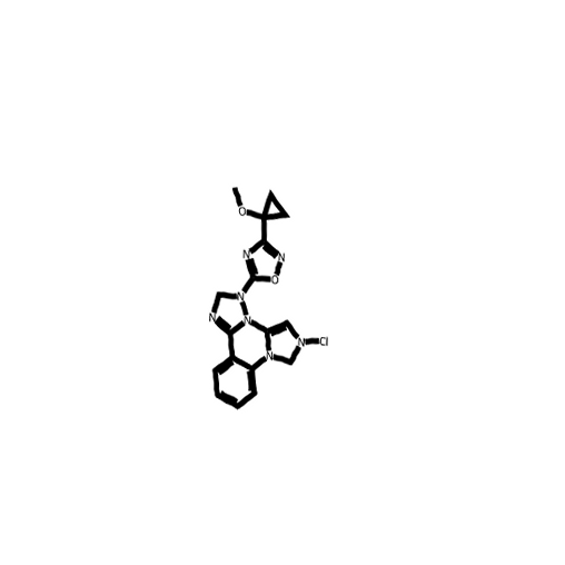 COC1(c2noc(N3CN=C4c5ccccc5N5CN(Cl)C=C5N43)n2)CC1